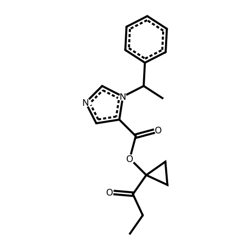 CCC(=O)C1(OC(=O)c2cncn2C(C)c2ccccc2)CC1